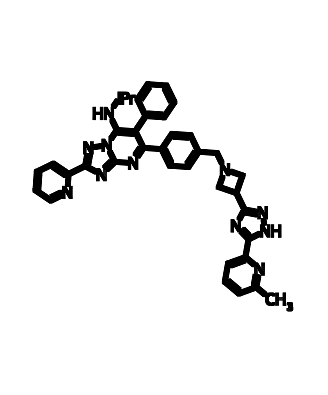 Cc1cccc(-c2nc(C3CN(Cc4ccc(-c5nc6nc(-c7ccccn7)nn6c(NC(C)C)c5-c5ccccc5)cc4)C3)n[nH]2)n1